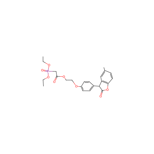 CCOP(=O)(CC(=O)OCCOc1ccc(C2C(=O)Oc3ccc(C)cc32)cc1)OCC